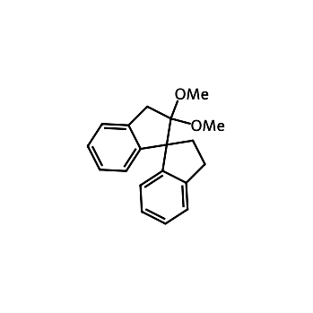 COC1(OC)Cc2ccccc2C12CCc1ccccc12